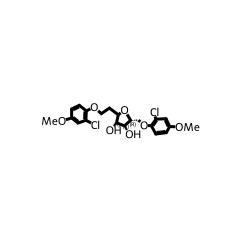 COc1ccc(OCCC2O[C@H](COc3ccc(OC)cc3Cl)[C@@H](O)[C@H]2O)c(Cl)c1